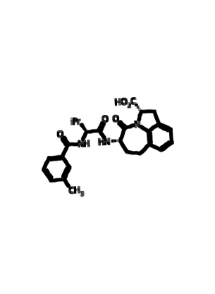 Cc1cccc(C(=O)N[C@H](C(=O)N[C@H]2CCc3cccc4c3N(C2=O)[C@H](C(=O)O)C4)C(C)C)c1